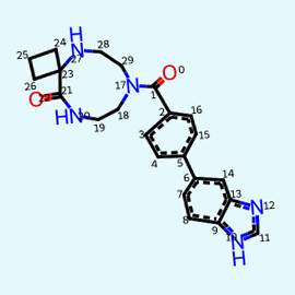 O=C(c1ccc(-c2ccc3[nH]cnc3c2)cc1)N1CCNC(=O)C2(CCC2)NCC1